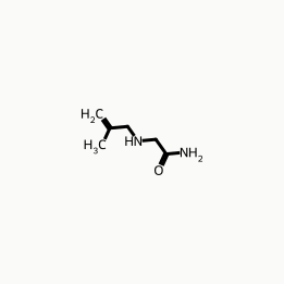 C=C(C)CNCC(N)=O